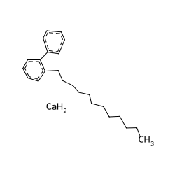 CCCCCCCCCCCCc1ccccc1-c1ccccc1.[CaH2]